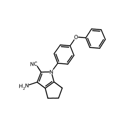 N#Cc1c(N)c2c(n1-c1ccc(Oc3ccccc3)cc1)CCC2